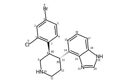 Clc1cc(Br)ccc1[C@@H]1CNCC[C@H]1c1cccc2[nH]cnc12